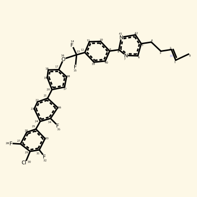 C/C=C/CCc1cnc(-c2ccc(C(F)(F)Oc3ccc(-c4ccc(-c5cc(F)c(Cl)c(F)c5)c(F)c4)cc3)cc2)nc1